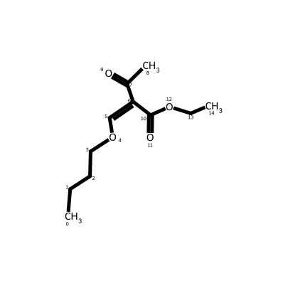 CCCCOC=C(C(C)=O)C(=O)OCC